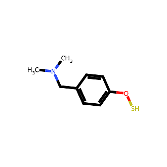 CN(C)Cc1ccc(OS)cc1